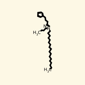 CCCCCCCCCCCCCCCCCCn1cc(CCCc2ccccc2)nc1CCC